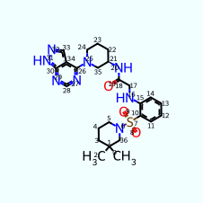 CC1(C)CCCN(S(=O)(=O)c2ccccc2NCC(=O)N[C@@H]2CCCN(c3ncnc4[nH]ncc34)C2)C1